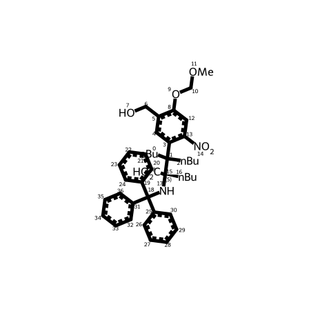 CCCCC(CCCC)(c1cc(CO)c(OCOC)cc1[N+](=O)[O-])[C@](CCCC)(NC(c1ccccc1)(c1ccccc1)c1ccccc1)C(=O)O